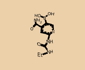 CCNC(=O)Nc1cc(C(N)=O)c(B(O)O)cn1